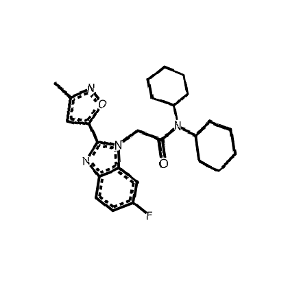 Cc1cc(-c2nc3ccc(F)cc3n2CC(=O)N(C2CCCCC2)C2CCCCC2)on1